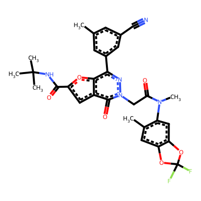 Cc1cc(C#N)cc(-c2nn(CC(=O)N(C)c3cc4c(cc3C)OC(F)(F)O4)c(=O)c3cc(C(=O)NC(C)(C)C)oc23)c1